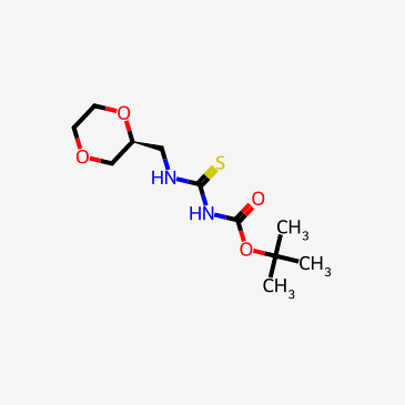 CC(C)(C)OC(=O)NC(=S)NC[C@H]1COCCO1